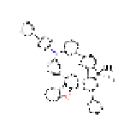 CC1(C)c2ccc(-c3cccc(N(c4ccc(-c5ccccc5)cc4)c4cccc(-c5cccc6oc7ccccc7c56)c4)c3)cc2-c2ccc(-c3ccccc3)cc21